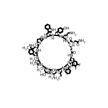 CCCC[C@H]1C(=O)N(C[C@H](C)O)CC(=O)N[C@@H](CC(=O)O)C(=O)N[C@@H](C(C)C)C(=O)N(C)[C@@H](Cc2ccc(C)cc2)C(=O)N[C@@H](CCCN)C(=O)N2CCC[C@@H]2C(=O)N[C@@H](Cc2c[nH]c3ccccc23)C(=O)N[C@@H](Cc2ccc(O)cc2)C(=O)N[C@@H](CCCN)C(=O)N[C@H](C(=O)NCC(N)=O)CSCC(=O)N[C@@H](Cc2cc(F)c(F)c(F)c2)C(=O)N(C)[C@@H](Cc2ccccc2)C(=O)N1C